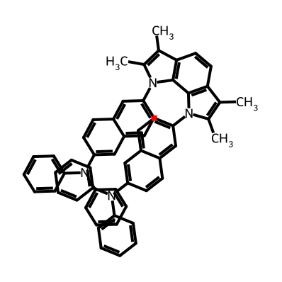 Cc1c(C)n(-c2ccc3cc(N(c4ccccc4)c4ccccc4)ccc3c2)c2c1ccc1c(C)c(C)n(-c3ccc4cc(N(c5ccccc5)c5ccccc5)ccc4c3)c12